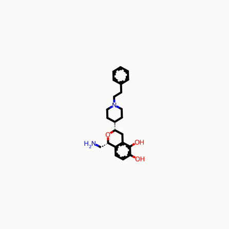 NC[C@@H]1O[C@H](C2CCN(CCc3ccccc3)CC2)Cc2c1ccc(O)c2O